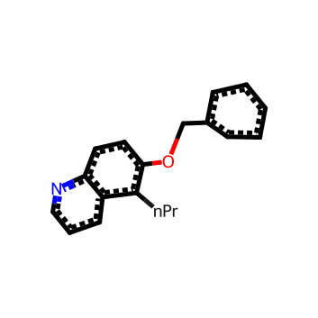 CCCc1c(OCc2ccccc2)ccc2ncccc12